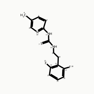 Cc1ccc(NC(=S)NCCc2c(F)cccc2F)nc1